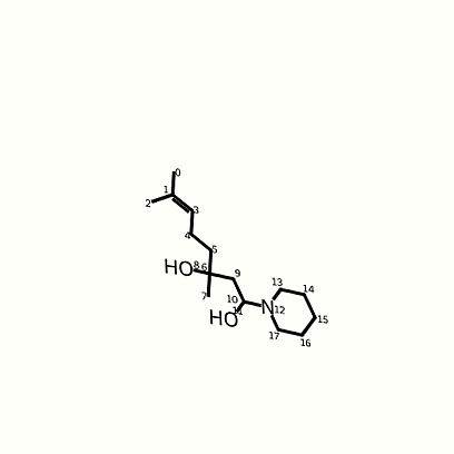 CC(C)=CCCC(C)(O)CC(O)N1CCCCC1